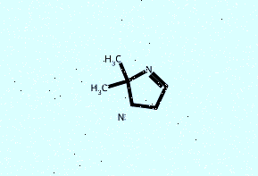 CC1(C)CCC=N1.[N]